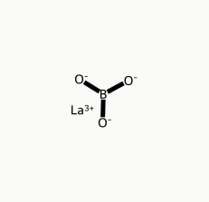 [La+3].[O-]B([O-])[O-]